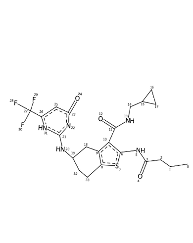 CCCC(=O)Nc1sc2c(c1C(=O)NCC1CC1)CC(Nc1nc(=O)cc(C(F)(F)F)[nH]1)CC2